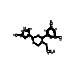 O=C(O)CN1CCC(c2cc(=O)[nH]o2)CC1c1cc(Cl)cc(Cl)c1